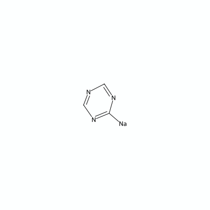 [Na][c]1ncncn1